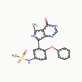 Cc1[nH]c(-c2cc(NS(C)(=O)=O)ccc2Oc2ccccc2)c2nc[nH]c(=O)c12